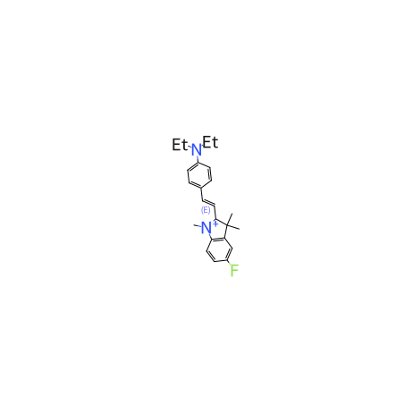 CCN(CC)c1ccc(/C=C/C2=[N+](C)c3ccc(F)cc3C2(C)C)cc1